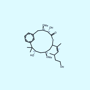 CO[C@@H]1CC(/C(C)=C\C(C)CCO)OC(=O)[C@@H](O)[C@H](OC)Cc2cccc(c2)C(C)(C)[C@@H](O)C1